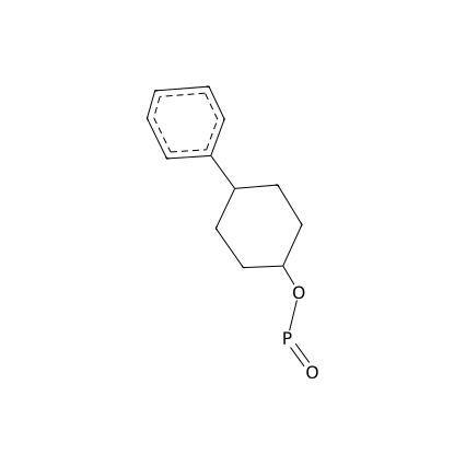 O=POC1CCC(c2ccccc2)CC1